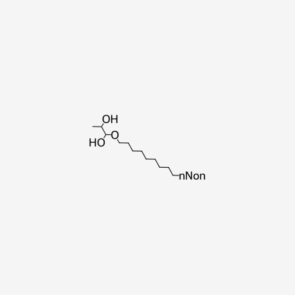 CCCCCCCCCCCCCCCCCCOC(O)C(C)O